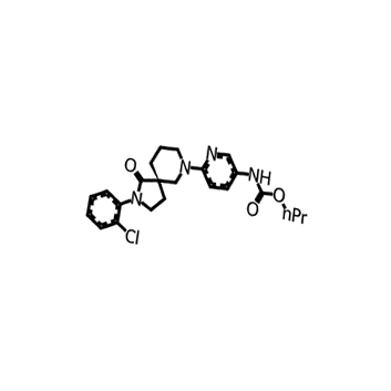 CCCOC(=O)Nc1ccc(N2CCC[C@]3(CCN(c4ccccc4Cl)C3=O)C2)nc1